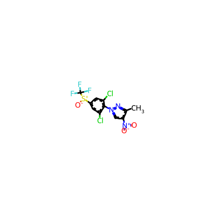 Cc1nn(-c2c(Cl)cc([S+]([O-])C(F)(F)F)cc2Cl)cc1[N+](=O)[O-]